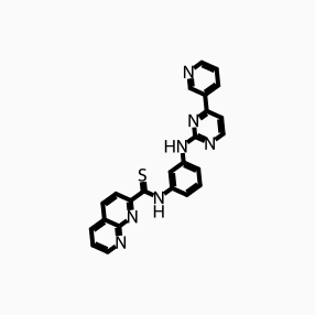 S=C(Nc1cccc(Nc2nccc(-c3cccnc3)n2)c1)c1ccc2cccnc2n1